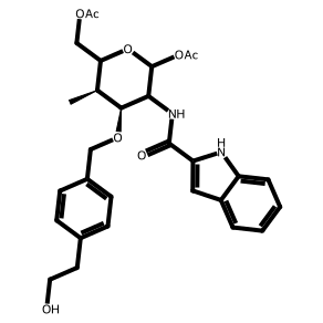 CC(=O)OCC1OC(OC(C)=O)C(NC(=O)c2cc3ccccc3[nH]2)[C@@H](OCc2ccc(CCO)cc2)[C@H]1C